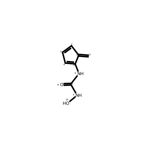 C=C1C=CC=C1NC(=O)NO